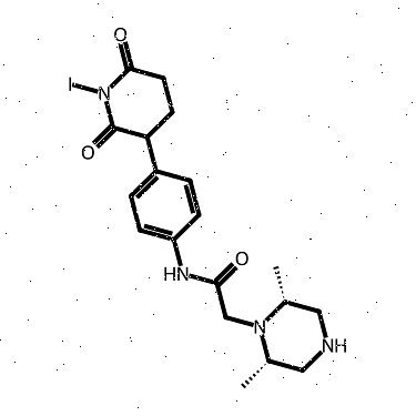 C[C@@H]1CNC[C@H](C)N1CC(=O)Nc1ccc(C2CCC(=O)N(I)C2=O)cc1